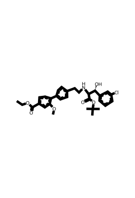 CCOC(=O)c1ccc(-c2ccc(CCNC(C(=O)OC(C)(C)C)[C@H](O)c3cccc(Cl)c3)cc2)c(OC)c1